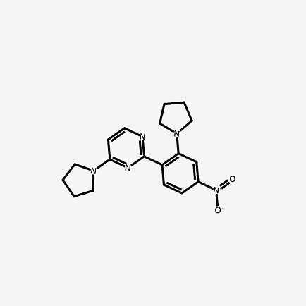 O=[N+]([O-])c1ccc(-c2nccc(N3CCCC3)n2)c(N2CCCC2)c1